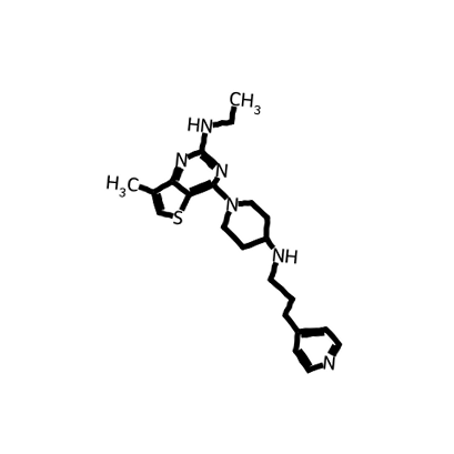 CCNc1nc(N2CCC(NCCCc3ccncc3)CC2)c2scc(C)c2n1